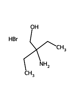 Br.CCC(N)(CC)CO